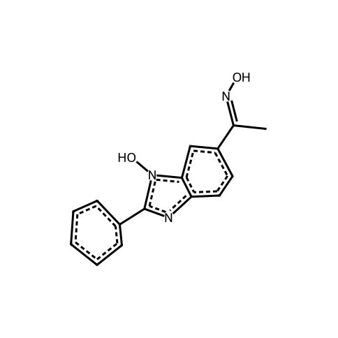 CC(=NO)c1ccc2nc(-c3ccccc3)n(O)c2c1